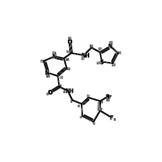 O=C(NCc1ccc(F)c(Br)c1)c1cc(C(=O)NCc2nccs2)ncn1